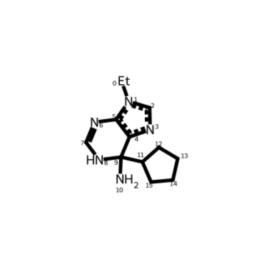 CCn1cnc2c1N=CNC2(N)C1CCCC1